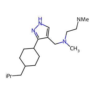 CNCCN(C)Cc1c[nH]nc1C1CCC(CC(C)C)CC1